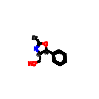 CCC1=N[C@@H](CO)[C@H](c2ccccc2)O1